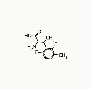 Cc1ccc(F)c(C(C)C(N)C(=O)O)c1F